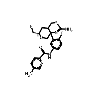 NC1=NC2(c3cc(NC(=O)c4ccc(N)cn4)ccc3F)CO[C@@H](CF)CC2CS1